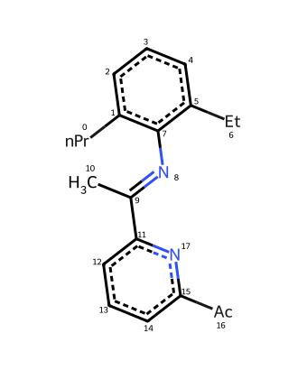 CCCc1cccc(CC)c1/N=C(\C)c1cccc(C(C)=O)n1